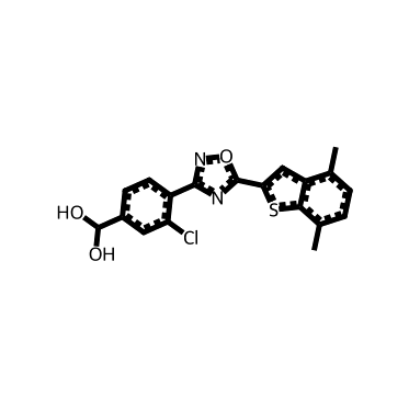 Cc1ccc(C)c2sc(-c3nc(-c4ccc(C(O)O)cc4Cl)no3)cc12